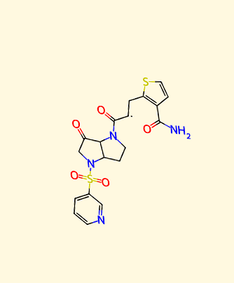 NC(=O)c1ccsc1C[CH]C(=O)N1CCC2C1C(=O)CN2S(=O)(=O)c1cccnc1